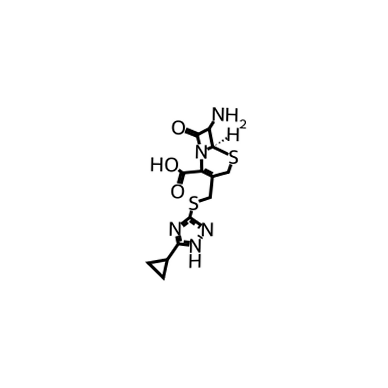 NC1C(=O)N2C(C(=O)O)=C(CSc3n[nH]c(C4CC4)n3)CS[C@H]12